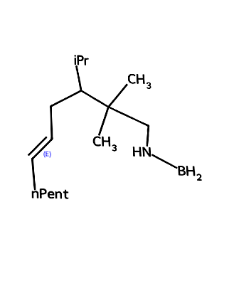 BNCC(C)(C)C(C/C=C/CCCCC)C(C)C